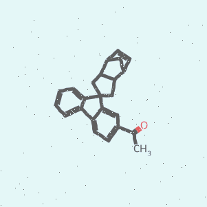 CC(=O)c1ccc2c(c1)C1(CC3C4C=CC(C4)C3C1)c1ccccc1-2